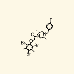 Cc1c(Br)c(C)c(Br)c(OCC(=O)N2C[C@H](C)N(Cc3ccc(F)cc3)C[C@H]2C)c1Br